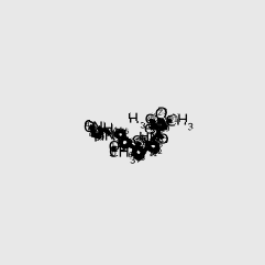 COc1cc(-c2cccc(-c3cccc(NC(=O)c4cn(C)c(=O)n(C)c4=O)c3Cl)c2Cl)cc2c1C(NCC1CCC(=O)N1)CC2